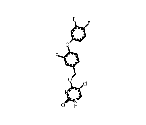 O=c1nc(OCc2ccc(Oc3ccc(F)c(F)c3)c(F)c2)c(Cl)c[nH]1